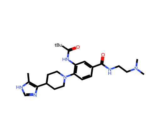 Cc1[nH]cnc1C1CCN(c2ccc(C(=O)NCCN(C)C)cc2NC(=O)C(C)(C)C)CC1